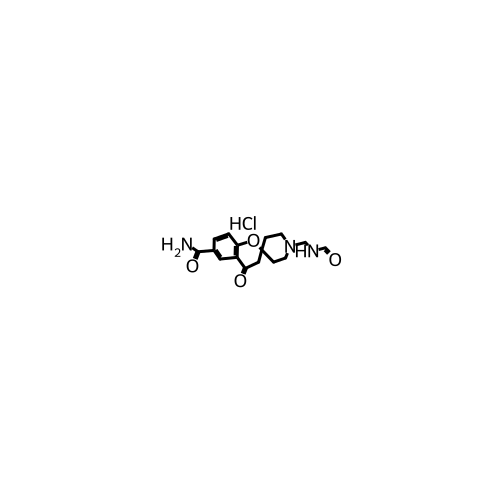 Cl.NC(=O)c1ccc2c(c1)C(=O)CC1(CCN(CNC=O)CC1)O2